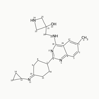 Cc1ccc2nc(C3CCC(=NC4CC4)CC3)nc(NCC3(O)CNC3)c2c1